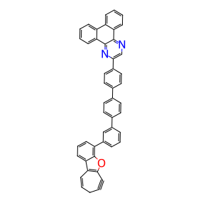 C1#Cc2oc3c(-c4cccc(-c5ccc(-c6ccc(-c7cnc8c9ccccc9c9ccccc9c8n7)cc6)cc5)c4)cccc3c2C=CC1